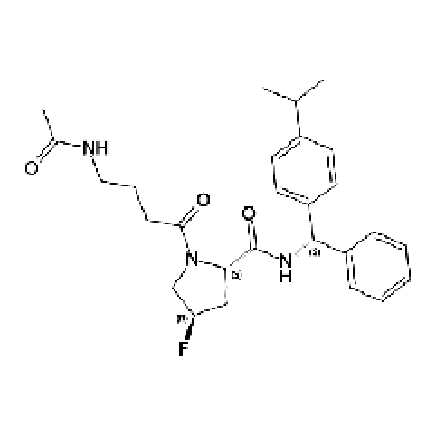 CC(=O)NCCCC(=O)N1C[C@H](F)C[C@H]1C(=O)N[C@@H](c1ccccc1)c1ccc(C(C)C)cc1